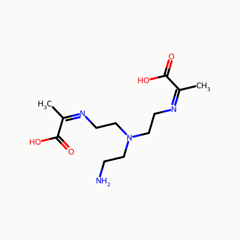 CC(=NCCN(CCN)CCN=C(C)C(=O)O)C(=O)O